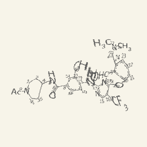 CC(=O)N1CCC(NC(=O)c2ccc(Nc3ncc(C(F)(F)F)c(Oc4cccc(CN(C)C)c4C=O)n3)c(C)c2)CC1